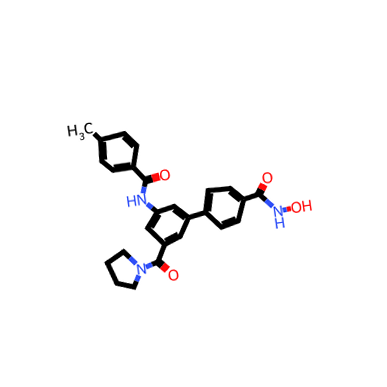 Cc1ccc(C(=O)Nc2cc(C(=O)N3CCCC3)cc(-c3ccc(C(=O)NO)cc3)c2)cc1